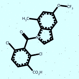 Cc1cc(OC(F)(F)F)cc2ccn(C(=O)c3c(Cl)ccc(C(=O)O)c3Cl)c12